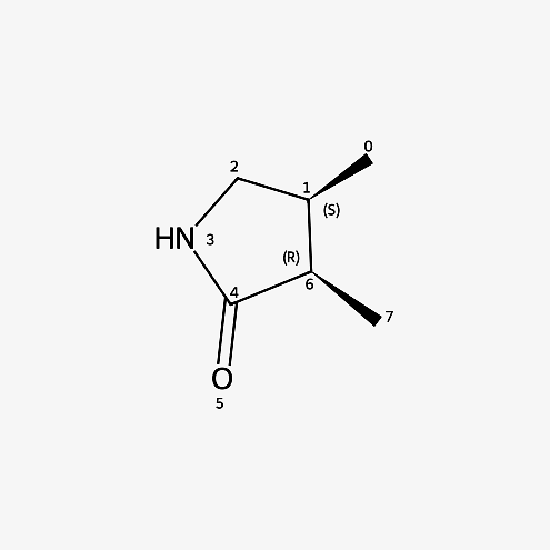 C[C@@H]1CNC(=O)[C@@H]1C